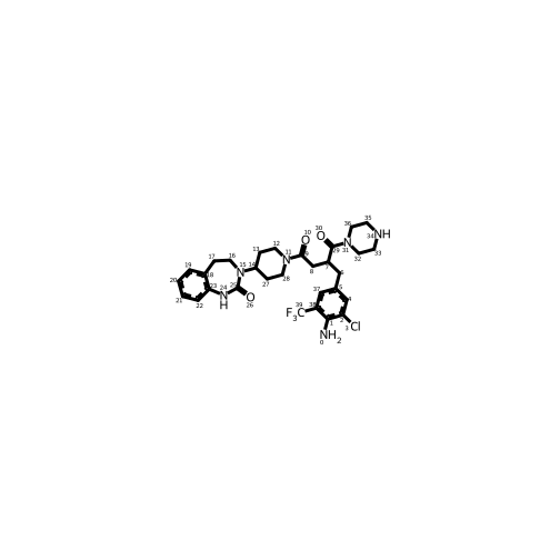 Nc1c(Cl)cc(CC(CC(=O)N2CCC(N3CCc4ccccc4NC3=O)CC2)C(=O)N2CCNCC2)cc1C(F)(F)F